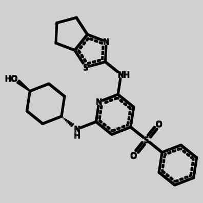 O=S(=O)(c1ccccc1)c1cc(Nc2nc3c(s2)CCC3)nc(N[C@H]2CC[C@H](O)CC2)c1